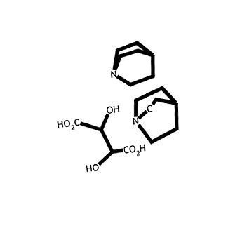 C1CN2CCC1CC2.C1CN2CCC1CC2.O=C(O)C(O)C(O)C(=O)O